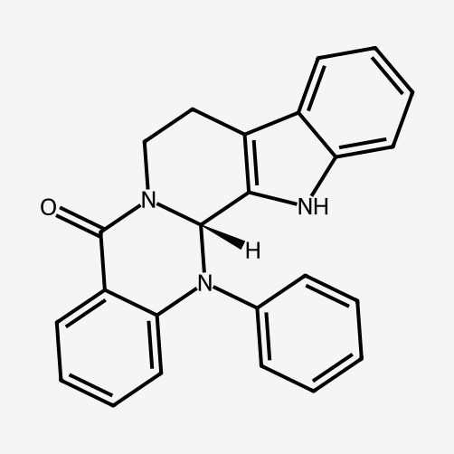 O=C1c2ccccc2N(c2ccccc2)[C@H]2c3[nH]c4ccccc4c3CCN12